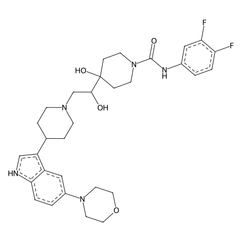 O=C(Nc1ccc(F)c(F)c1)N1CCC(O)(C(O)CN2CCC(c3c[nH]c4ccc(N5CCOCC5)cc34)CC2)CC1